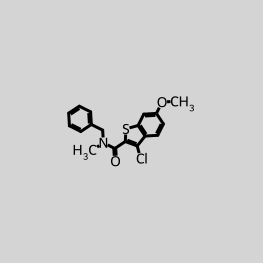 COc1ccc2c(Cl)c(C(=O)N(C)Cc3ccccc3)sc2c1